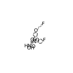 C[C@H](C(=O)NO)N(Cc1ccc(F)cc1)S(=O)(=O)c1ccc(OCCCCF)cc1